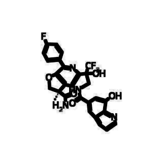 C[C@]1(C(N)=O)COc2c1cc(C(O)(CNC(=O)c1cc(O)c3ncccc3c1)C(F)(F)F)nc2-c1ccc(F)cc1